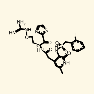 Cc1cc(CC(=O)N[C@@H](CCONC(=N)N)C(=O)c2nccs2)c(NS(=O)(=O)Cc2ccccc2I)c(=O)[nH]1